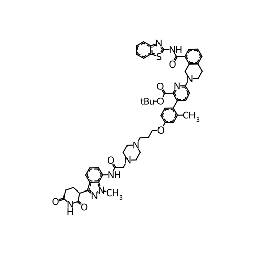 Cc1cc(OCCCN2CCN(CC(=O)Nc3cccc4c(C5CCC(=O)NC5=O)nn(C)c34)CC2)ccc1-c1ccc(N2CCc3cccc(C(=O)Nc4nc5ccccc5s4)c3C2)nc1C(=O)OC(C)(C)C